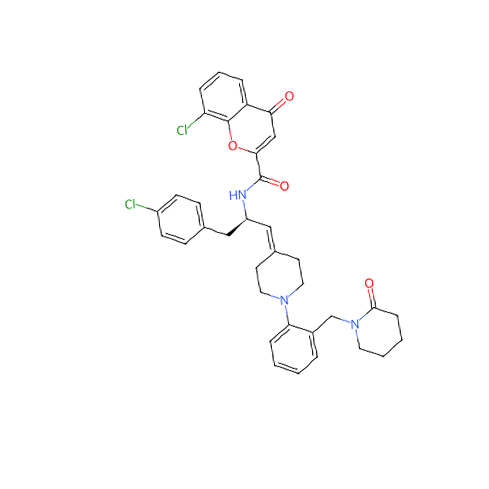 O=C(N[C@@H](C=C1CCN(c2ccccc2CN2CCCCC2=O)CC1)Cc1ccc(Cl)cc1)c1cc(=O)c2cccc(Cl)c2o1